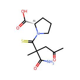 CC(=O)CC(C)(C(N)=O)C(=S)N1CCC[C@H]1C(=O)O